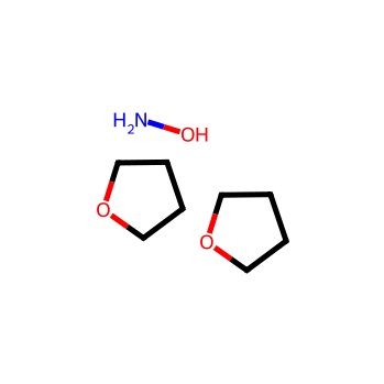 C1CCOC1.C1CCOC1.NO